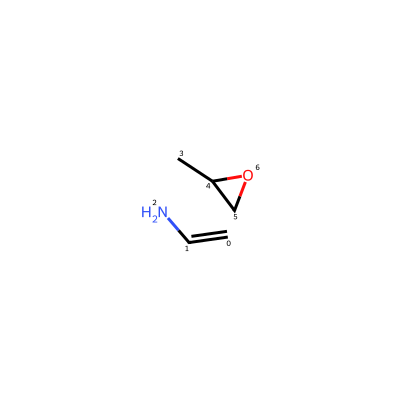 C=CN.CC1CO1